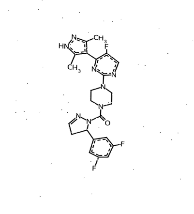 Cc1n[nH]c(C)c1-c1nc(N2CCN(C(=O)N3N=CCC3c3cc(F)cc(F)c3)CC2)ncc1F